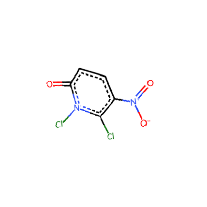 O=c1ccc([N+](=O)[O-])c(Cl)n1Cl